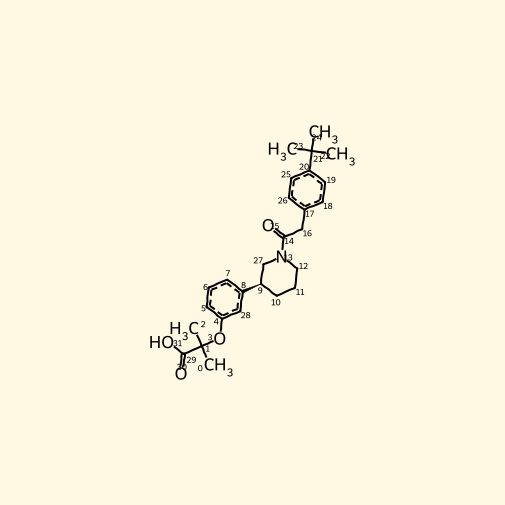 CC(C)(Oc1cccc([C@@H]2CCCN(C(=O)Cc3ccc(C(C)(C)C)cc3)C2)c1)C(=O)O